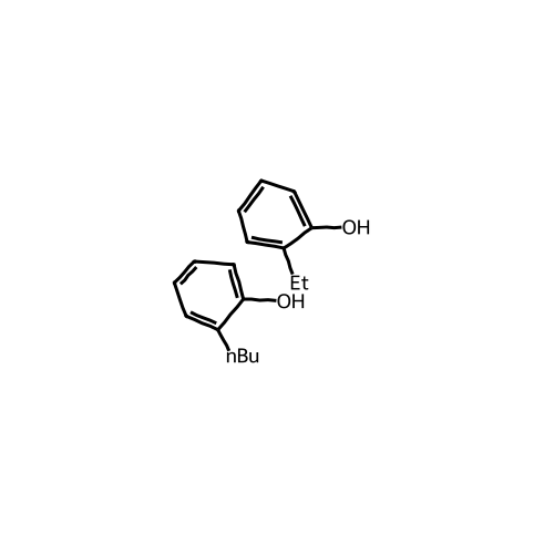 CCCCc1ccccc1O.CCc1ccccc1O